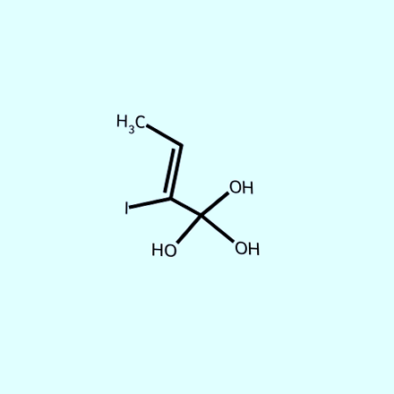 CC=C(I)C(O)(O)O